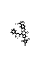 N=C(N)c1ccc(CNC(=O)[C@@H]2C[C@H](N3C(=O)CNC3=O)CN2C(=O)[C@H](N)CCc2ccccc2)cc1